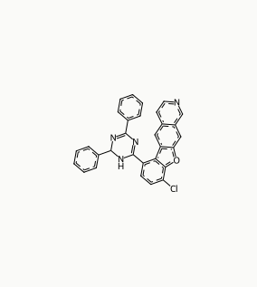 Clc1ccc(C2=NC(c3ccccc3)=NC(c3ccccc3)N2)c2c1oc1cc3cnccc3cc12